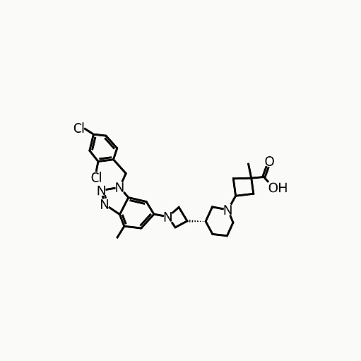 Cc1cc(N2CC([C@H]3CCCN(C4CC(C)(C(=O)O)C4)C3)C2)cc2c1nnn2Cc1ccc(Cl)cc1Cl